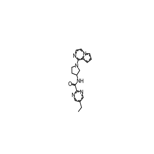 CCc1cnc(C(=O)NC2CCN(c3nccn4cccc34)C2)nc1